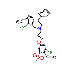 CS(=O)(=O)c1cc(OCCCN(CCc2ccccc2)Cc2cccc(C(F)(F)F)c2Cl)cc(F)c1C=O